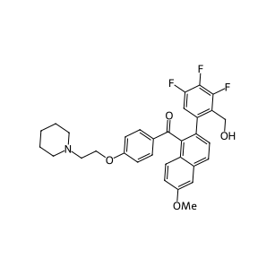 COc1ccc2c(C(=O)c3ccc(OCCN4CCCCC4)cc3)c(-c3cc(F)c(F)c(F)c3CO)ccc2c1